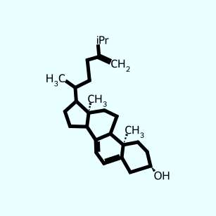 C=C(CCC(C)C1CCC2C3=CC=C4C[C@@H](O)CC[C@]4(C)C3CC[C@@]21C)C(C)C